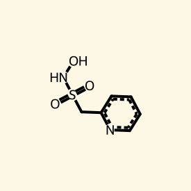 O=S(=O)(Cc1ccccn1)NO